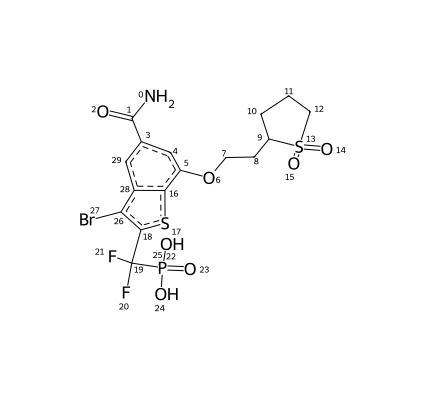 NC(=O)c1cc(OCCC2CCCS2(=O)=O)c2sc(C(F)(F)P(=O)(O)O)c(Br)c2c1